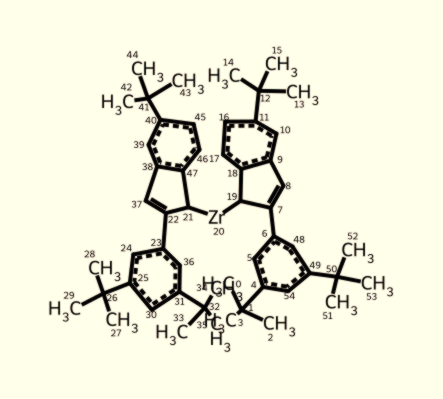 CC(C)(C)c1cc(C2=Cc3cc(C(C)(C)C)ccc3[CH]2[Zr][CH]2C(c3cc(C(C)(C)C)cc(C(C)(C)C)c3)=Cc3cc(C(C)(C)C)ccc32)cc(C(C)(C)C)c1